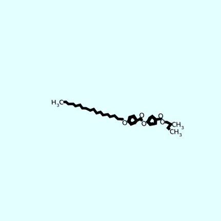 CCCCCCCCCCCCCCCCCCOc1ccc(C(=O)Oc2ccc(C(=O)OCC(C)CC)cc2)cc1